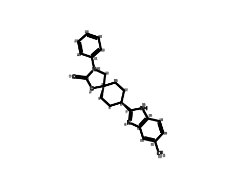 O=C1O[C@]2(CC[C@H](c3nc4cc(C(F)(F)F)ccc4[nH]3)CC2)CN1c1ccccc1